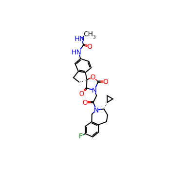 CNC(=O)Nc1ccc2c(c1)CC[C@@]21OC(=O)N(CC(=O)N2Cc3cc(F)ccc3CC[C@H]2C2CC2)C1=O